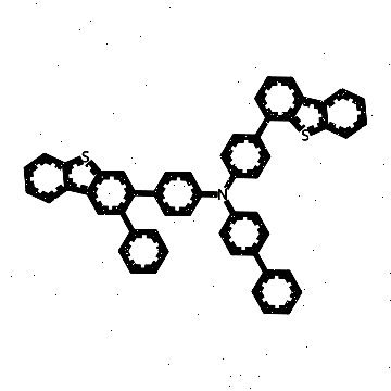 c1ccc(-c2ccc(N(c3ccc(-c4cc5sc6ccccc6c5cc4-c4ccccc4)cc3)c3ccc(-c4cccc5c4sc4ccccc45)cc3)cc2)cc1